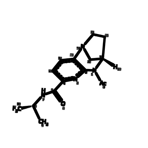 CC(=O)N1c2nc(C(=O)N[C@H](C)C(F)(F)F)ccc2N2CC[C@H]1C2